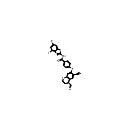 N#Cc1cc2c(cc1Oc1ccc(C(=O)Nc3nc4c(F)cc(F)cc4s3)cc1)OCCC2C=O